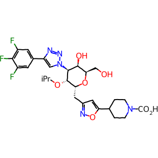 CC(C)O[C@@H]1[C@@H](n2cc(-c3cc(F)c(F)c(F)c3)nn2)[C@@H](O)[C@@H](CO)O[C@@H]1Cc1cc(C2CCN(C(=O)O)CC2)on1